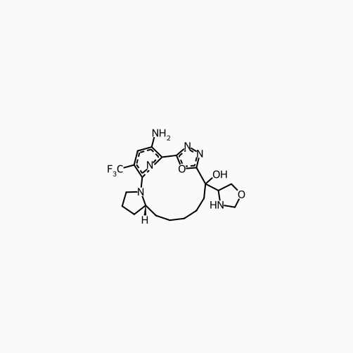 Nc1cc(C(F)(F)F)c2nc1-c1nnc(o1)C(O)(C1COCN1)CCCCC[C@@H]1CCCN21